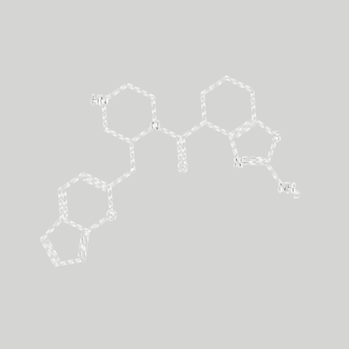 Nc1nc2c(s1)CCCC2C(=O)N1CCNCC1Cc1ccc2cccc-2o1